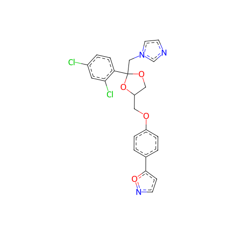 Clc1ccc(C2(Cn3ccnc3)OCC(COc3ccc(-c4ccno4)cc3)O2)c(Cl)c1